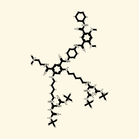 COc1cc(OC)c(C(=O)NC2CCC(NC(=O)c3cc(C(=O)NCCN(C)C)c(OCCCCCN/C(=N/C(=O)OC(C)(C)C)NC(=O)OC(C)(C)C)cc3OCCCCCN/C(=N/C(=O)OC(C)(C)C)NC(=O)OC(C)(C)C)CC2)cc1C(=O)NC1CCCCC1